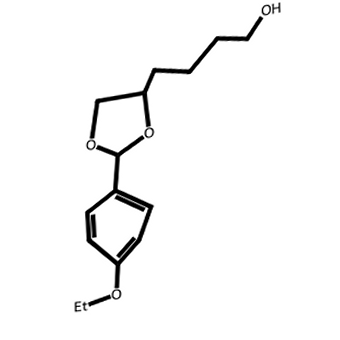 CCOc1ccc(C2OCC(CCCCO)O2)cc1